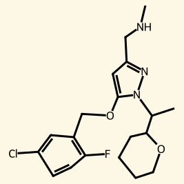 CNCc1cc(OCc2cc(Cl)ccc2F)n(C(C)C2CCCCO2)n1